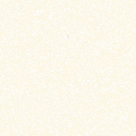 CC(C)CC(CC(C)C)C(=O)[O-].CC(C)CC(CC(C)C)C(=O)[O-].CC(C)CC(CC(C)C)C(=O)[O-].[Al+3]